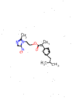 Cc1ncc(N=O)n1CCOC(=O)[C@@H](C)c1ccc(CC(C)C)cc1